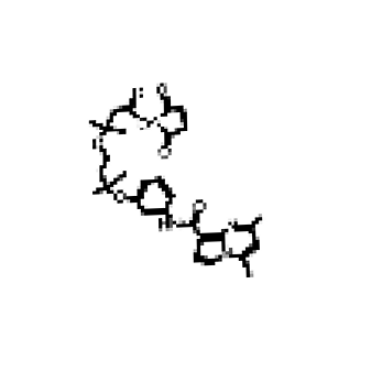 Cc1cc(C)n2ccc(C(=O)Nc3cccc(OC(C)(C)CCOC(C)(C)CC(=O)ON4C(=O)CCC4=O)c3)c2n1